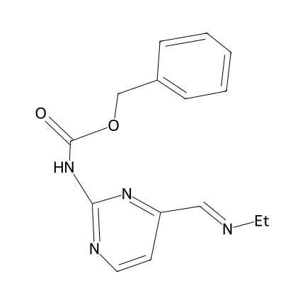 CCN=Cc1ccnc(NC(=O)OCc2ccccc2)n1